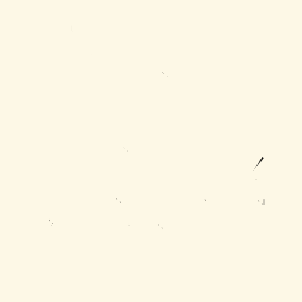 CC1=C(n2c(=O)nc(N3CCN[C@H](C)C3)c3cc(F)c(-c4c(N)c(Cl)c(F)c(F)c4F)nc32)C(C(C)C)NC=C1